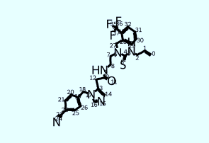 C=CCNC(=S)N(CCNC(=O)Cc1cncn1Cc1ccc(C#N)cc1)Cc1ccccc1C(F)(F)F